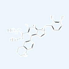 Cc1nc2c(ccn2Cc2cccc(F)c2F)c(-c2ccc3c(c2)CCCO3)c1C(OC(C)(C)C)C(=O)O